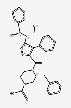 O=C(O)N1CCN(C(=O)c2ncn([C@@H](CO)[C@@H](O)c3ccccc3)c2-c2ccccc2)[C@H](Cc2ccccc2)C1